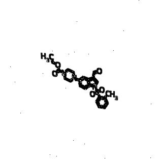 CCOC(=O)N1CCN(c2ccc3c(c2)c(C=O)cn3S(=O)(=O)c2ccccc2C)CC1